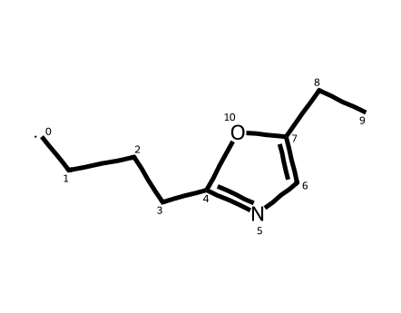 [CH2]CCCc1ncc(CC)o1